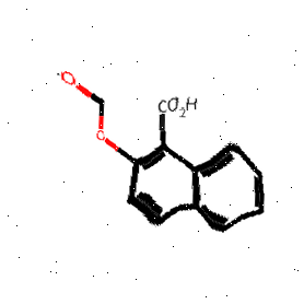 [O]COc1ccc2ccccc2c1C(=O)O